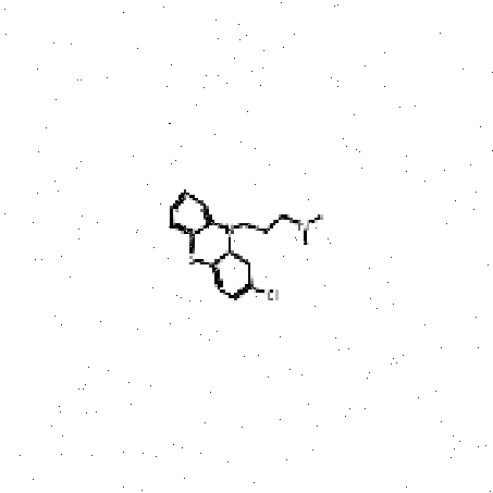 CN(C)CCCN1c2ccccc2SC2=CC=C(Cl)CC21